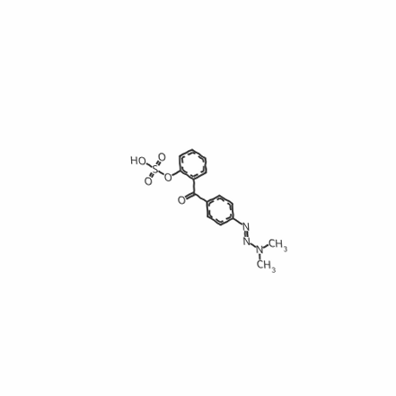 CN(C)N=Nc1ccc(C(=O)c2ccccc2OS(=O)(=O)O)cc1